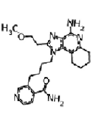 COCCc1nc2c(N)nc3c(c2n1CCCCc1cnccc1C(N)=O)CCCC3